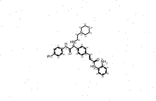 CC(C)c1ccc(NC(=O)C(NCCN2CCSCC2)c2ccc(C=CC(=O)Nc3ccccc3N)cc2)cc1